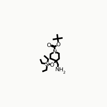 CC[Si](CC)(CC)OC1(CN)CCN(C(=O)OC(C)(C)C)CC1